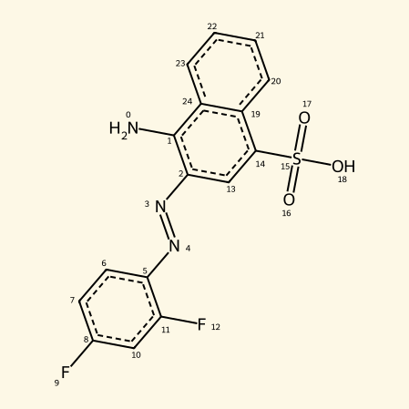 Nc1c(/N=N/c2ccc(F)cc2F)cc(S(=O)(=O)O)c2ccccc12